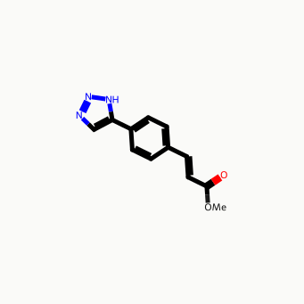 COC(=O)/C=C/c1ccc(-c2cnn[nH]2)cc1